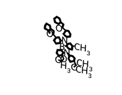 Cc1cc2c3c(c1)N(c1ccc(C(C)(C)C)cc1)c1c(ccc4c1OCO4)B3c1ccc(-c3cc4ccccc4o3)cc1N2c1cccc(-c2cc3ccccc3o2)c1